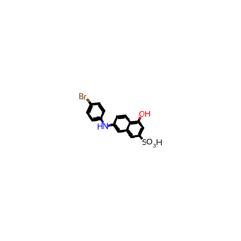 O=S(=O)(O)c1cc(O)c2ccc(Nc3ccc(Br)cc3)cc2c1